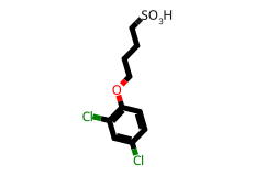 O=S(=O)(O)CCCCOc1ccc(Cl)cc1Cl